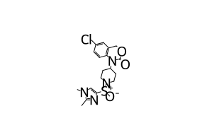 Cc1nc([S+]([O-])N2CCC(N3C(=O)OCc4cc(Cl)ccc43)CC2)cn1C